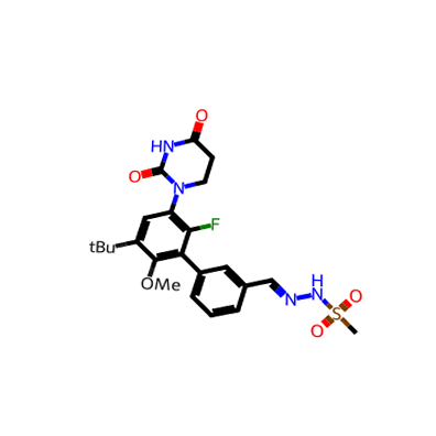 COc1c(C(C)(C)C)cc(N2CCC(=O)NC2=O)c(F)c1-c1cccc(C=NNS(C)(=O)=O)c1